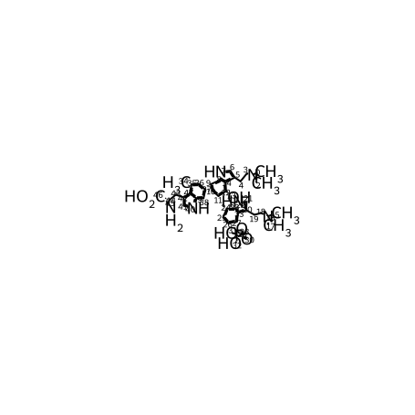 CN(C)CCc1c[nH]c2cccc(O)c12.CN(C)CCc1c[nH]c2cccc(OP(=O)(O)O)c12.Cc1cccc2[nH]cc(C[C@H](N)C(=O)O)c12